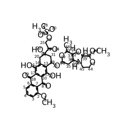 COc1cccc2c1C(=O)c1c(O)c3c(c(O)c1C2=O)C[C@@](O)(C(=O)COS(C)(=O)=O)C[C@@H]3O[C@H]1C[C@H]2[C@H](O[C@@H]3[C@@H](OC)OCCN32)[C@H](C)O1